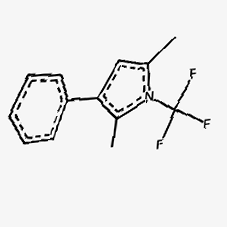 Cc1cc(-c2ccccc2)c(C)n1C(F)(F)F